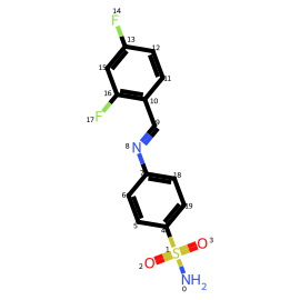 NS(=O)(=O)c1ccc(/N=C/c2ccc(F)cc2F)cc1